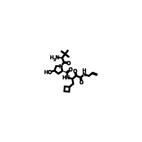 C=CCNC(=O)C(=O)C(CC1CCC1)NC(=O)[C@@H]1CC(O)CN1C(=O)[C@@H](N)C(C)(C)C